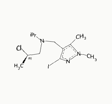 Cc1c(CN(C[C@@H](C)Cl)C(C)C)c(I)nn1C